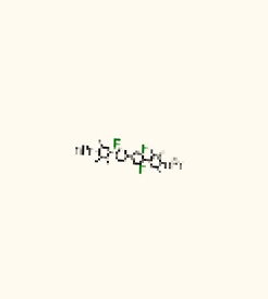 CCCc1c(C)cc(-c2ccc(-c3cc(F)c(-c4cc(C)c(CCC)c(C)c4C)c(F)c3)cc2F)c(C)c1C